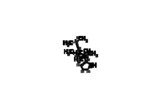 CC(C)=CC(C)=[CH][Ru]([CH3])([CH3])([CH3])([CH3])[c]1ccc[nH]1